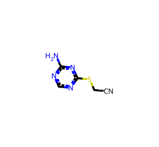 N#CCSc1ncnc(N)n1